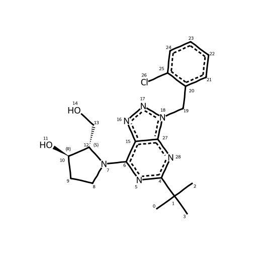 CC(C)(C)c1nc(N2CC[C@@H](O)[C@@H]2CO)c2nnn(Cc3ccccc3Cl)c2n1